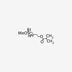 C=C(C)C(=O)OCCCC[Si](CC)(CCC)OC